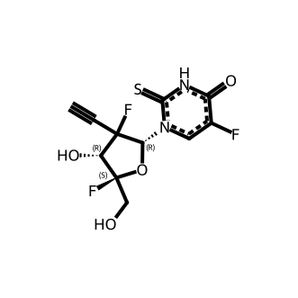 C#CC1(F)[C@@H](O)[C@@](F)(CO)O[C@H]1n1cc(F)c(=O)[nH]c1=S